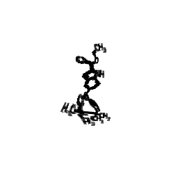 CCOC(=O)c1cc2cc(B3OC(C)(C)C(C)(C)O3)ccc2[nH]1